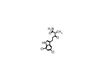 CN(C(N)=O)C(=O)CCc1c[nH]c2c(Cl)cc(Cl)cc12